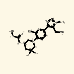 CCc1nc(-c2nnn(C)c2CO)ccc1N1C[C@@H](CC(=O)OC(C)(C)C)CC(F)(F)C1